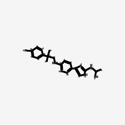 CC(O)Nc1nc(-c2ccc(NCC(C)(C)c3ccc(F)cc3)nn2)c[nH]1